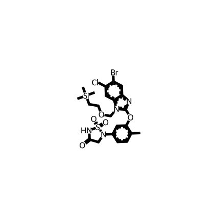 Cc1ccc(N2CC(=O)NS2(=O)=O)cc1Oc1nc2cc(Br)c(Cl)cc2n1COCC[Si](C)(C)C